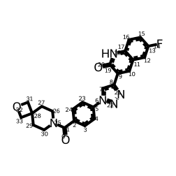 O=C(c1ccc(-n2cc(-c3cc4cc(F)ccc4[nH]c3=O)nn2)cc1)N1CCC2(CC1)COC2